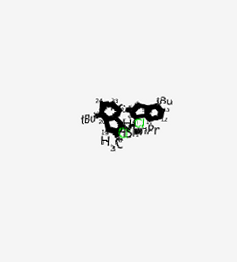 CCC[SiH]=[Hf]([Cl])([Cl])([CH]1C(C)=Cc2c1cccc2C(C)(C)C)[CH]1C(C)=Cc2c1cccc2C(C)(C)C